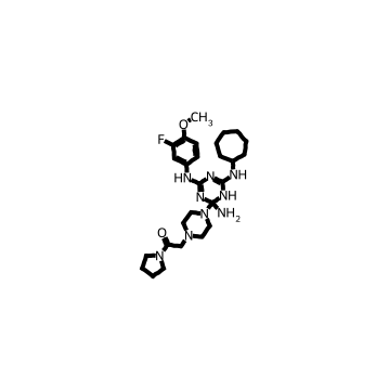 COc1ccc(NC2=NC(N)(N3CCN(CC(=O)N4CCCC4)CC3)NC(NC3CCCCCC3)=N2)cc1F